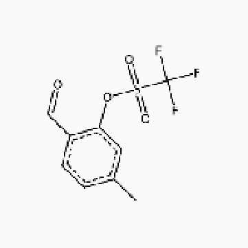 Cc1ccc(C=O)c(OS(=O)(=O)C(F)(F)F)c1